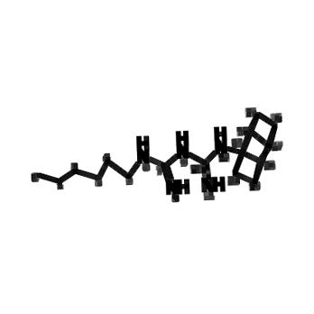 CCCCCCNC(=N)NC(=N)NC12C3C4C5C3C1C5C42